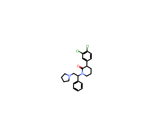 O=C1C(c2ccc(Cl)c(Cl)c2)CCCN1C(CN1CCCC1)c1ccccc1